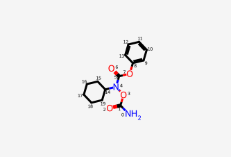 NC(=O)ON(C(=O)Oc1ccccc1)C1CCCCC1